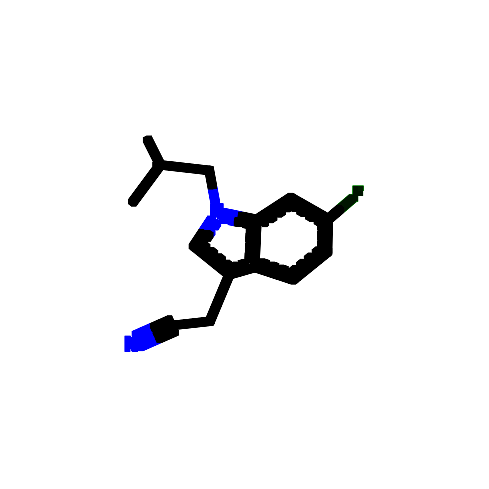 C[C](C)Cn1cc(CC#N)c2ccc(F)cc21